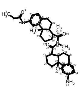 CCC(=O)Nc1ccc2c(c1)C1(C)CCC[C@](C)(C(=O)N(C)C(=O)C3CCCC4(C)c5cc(N)ccc5CCC34)C1CC2